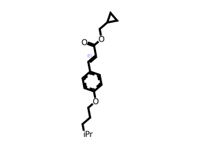 CC(C)CCCOc1ccc(/C=C/C(=O)OCC2CC2)cc1